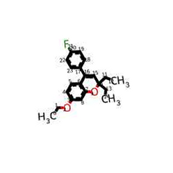 CCOc1ccc2c(c1)OC(CC)(CC)C=C2c1ccc(F)cc1